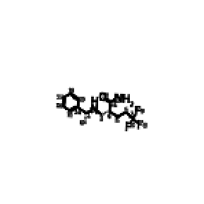 C[C@@H](NC[C@@H](CCC(F)(F)F)C(N)=O)c1ccccc1